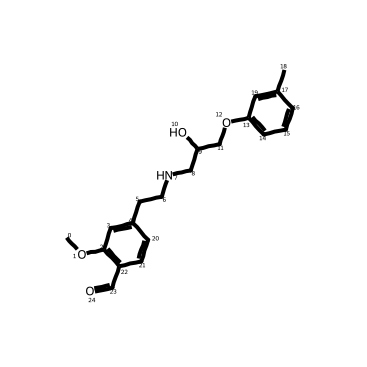 COc1cc(CCNCC(O)COc2cccc(C)c2)ccc1C=O